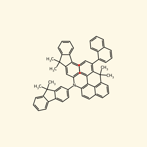 CC1(C)c2ccccc2-c2ccc(N(c3ccc4c(c3)C(C)(C)c3ccccc3-4)c3ccc4cccc5c4c3-c3cccc(-c4cccc6ccccc46)c3C5(C)C)cc21